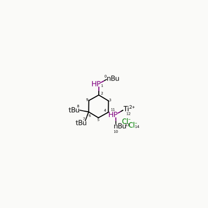 CCCCPC1CCCC(C(C)(C)C)(C(C)(C)C)C1.CCCC[PH][Ti+2].[Cl-].[Cl-]